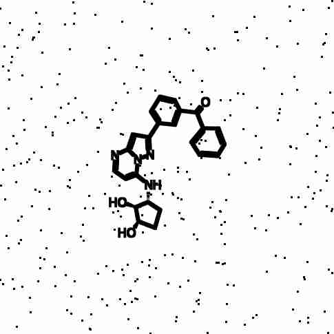 O=C(c1ccccc1)c1cccc(-c2cc3nccc(N[C@@H]4CC[C@@H](O)[C@H]4O)n3n2)c1